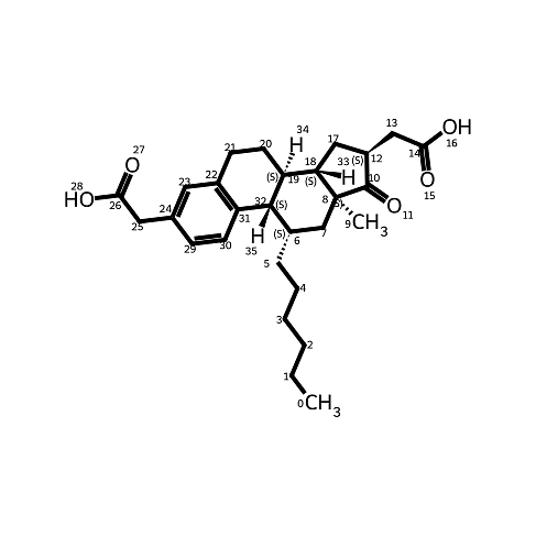 CCCCCC[C@H]1C[C@]2(C)C(=O)[C@H](CC(=O)O)C[C@H]2[C@@H]2CCc3cc(CC(=O)O)ccc3[C@@H]12